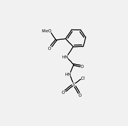 COC(=O)c1ccccc1NC(=O)NS(=O)(=O)Cl